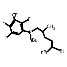 CCCCP(CC(C)CCC(CC)CCC)c1cc(F)c(F)c(C(F)(F)F)c1F